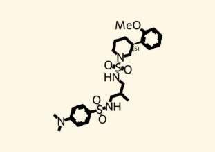 COc1ccccc1[C@@H]1CCCN(S(=O)(=O)NCC(C)CNS(=O)(=O)c2ccc(N(C)C)cc2)C1